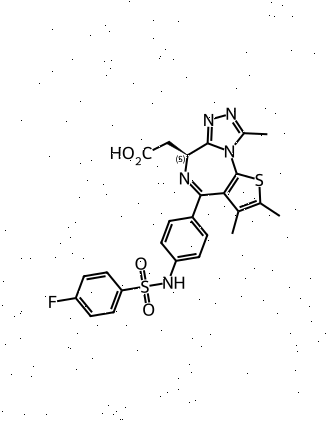 Cc1sc2c(c1C)C(c1ccc(NS(=O)(=O)c3ccc(F)cc3)cc1)=N[C@@H](CC(=O)O)c1nnc(C)n1-2